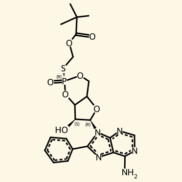 CC(C)(C)C(=O)OCS[P@]1(=O)OCC2O[C@@H](n3c(-c4ccccc4)nc4c(N)ncnc43)[C@@H](O)C2O1